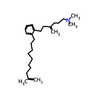 C=C(C)CCCCCCCCC1=CC=C=C=C1CCC(=C)CCCN(C)C